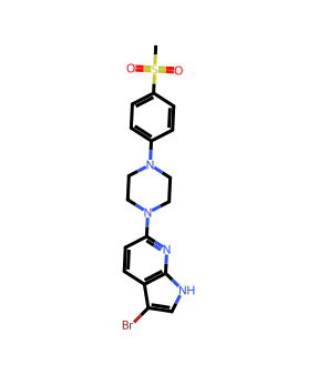 CS(=O)(=O)c1ccc(N2CCN(c3ccc4c(Br)c[nH]c4n3)CC2)cc1